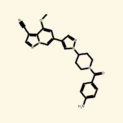 COc1cc(-c2cnn(C3CCN(C(=O)c4ccc(N)cc4)CC3)c2)cn2ncc(C#N)c12